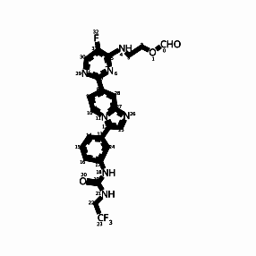 O=COCCNc1nc(-c2ccn3c(-c4cccc(NC(=O)NCC(F)(F)F)c4)cnc3c2)ncc1F